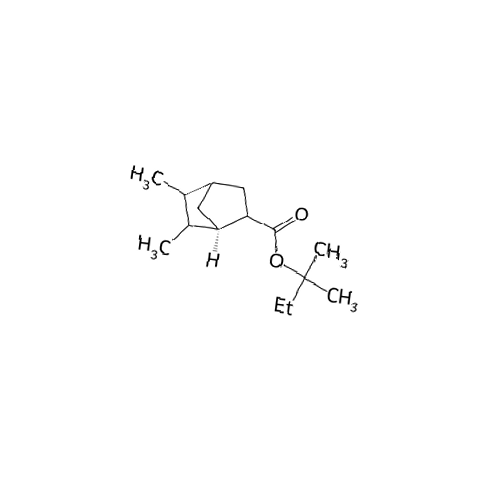 CCC(C)(C)OC(=O)C1CC2C[C@@H]1C(C)C2C